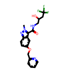 Cn1nc2ccc(OCc3ccccn3)cc2c1C(=O)NCC(O)CC(F)(F)F